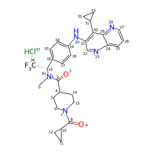 CN(C(=O)C1CCN(C(=O)C2CC2)CC1)[C@@H](c1ccc(Nc2cnc3cccnc3c2C2CC2)cc1)C(F)(F)F.Cl